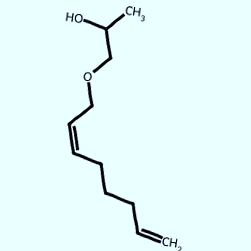 C=CCCC/C=C\COCC(C)O